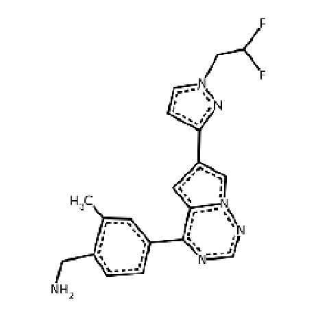 Cc1cc(-c2ncnn3cc(-c4ccn(CC(F)F)n4)cc23)ccc1CN